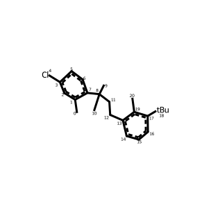 Cc1cc(Cl)ccc1C(C)(C)CCc1cccc(C(C)(C)C)c1C